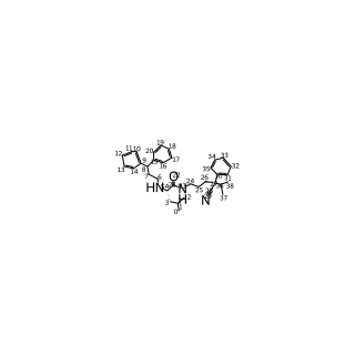 CC(C)C[C@H](NCCC(c1ccccc1)c1ccccc1)C(=O)NCCC[C@@](C#N)(c1ccccc1)C(C)C